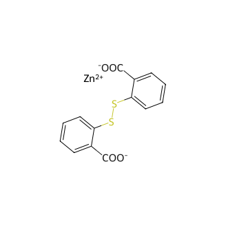 O=C([O-])c1ccccc1SSc1ccccc1C(=O)[O-].[Zn+2]